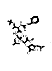 CBCC1C[C@@H](C[C@H](NC(=O)[C@H](CC(C)C)NC(=O)[C@@H](NC(=O)OCc2ccccc2)C(C)OC(C)(C)C)C(=O)OC)C(=O)N1